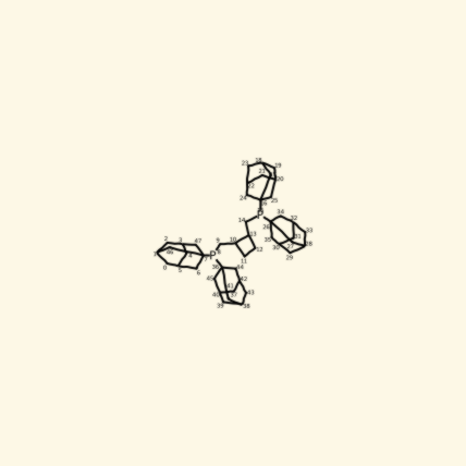 C1C2CC3CC1CC(P(CC1CCC1CP(C14CC5CC(CC(C5)C1)C4)C14CC5CC(CC(C5)C1)C4)C14CC5CC(CC(C5)C1)C4)(C2)C3